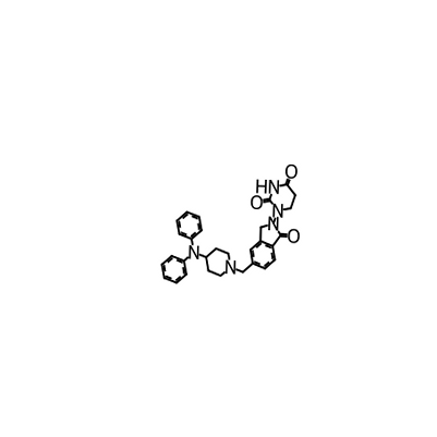 O=C1CCN(N2Cc3cc(CN4CCC(N(c5ccccc5)c5ccccc5)CC4)ccc3C2=O)C(=O)N1